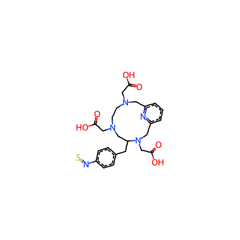 O=C(O)CN1CCN(CC(=O)O)CC(Cc2ccc(N=S)cc2)N(CC(=O)O)Cc2cccc(n2)C1